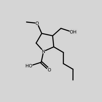 CCCCC1C(CO)C(OC)CN1C(=O)O